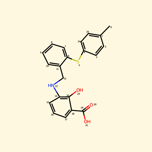 Cc1ccc(Sc2ccccc2CNc2cccc(C(=O)O)c2O)cc1